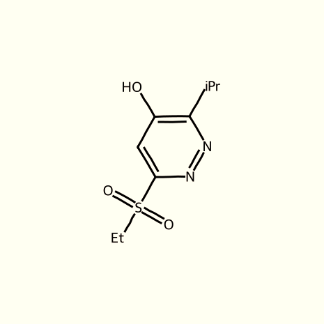 CCS(=O)(=O)c1cc(O)c(C(C)C)nn1